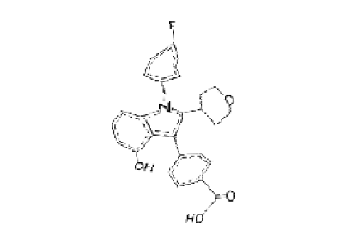 O=C(O)c1ccc(-c2c(C3CCOCC3)n(-c3ccc(F)cc3)c3cccc(O)c23)cc1